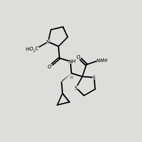 CNC(=O)C1([C@H](CC2CC2)NC(=O)C2CCCN2C(=O)O)SCCS1